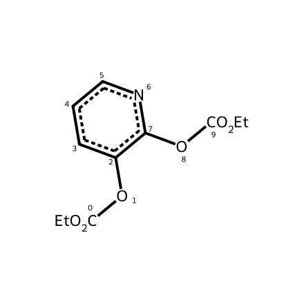 CCOC(=O)Oc1cccnc1OC(=O)OCC